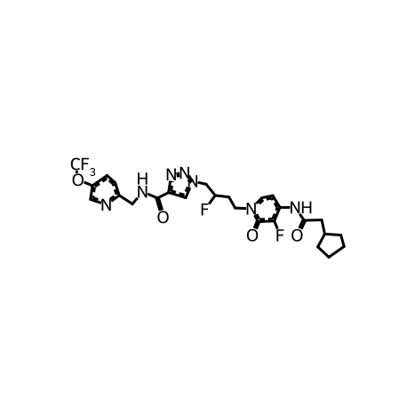 O=C(CC1CCCC1)Nc1ccn(CCC(F)Cn2cc(C(=O)NCc3ccc(OC(F)(F)F)cn3)nn2)c(=O)c1F